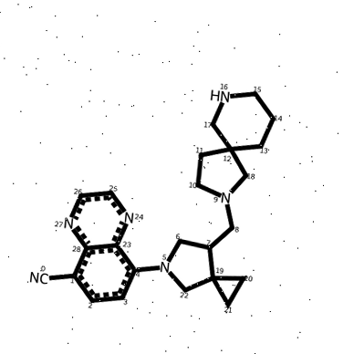 N#Cc1ccc(N2CC(CN3CCC4(CCCNC4)C3)C3(CC3)C2)c2nccnc12